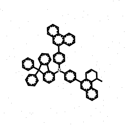 CC1CC=Cc2c(-c3ccc(N(c4ccc(-c5cc6ccccc6c6ccccc56)cc4)c4cccc5c4-c4ccccc4C5(c4ccccc4)c4ccccc4)cc3)cc3ccccc3c21